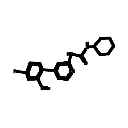 COc1cc(F)ccc1-c1ccnc(NC(=O)NC2CCCCC2)c1